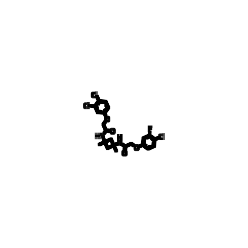 CC1(NC(=O)COc2ccc(Cl)c(F)c2)CC(C)(NC(=O)COc2ccc(Cl)c(Cl)c2)C1